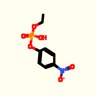 CCOP(=O)(O)Oc1ccc([N+](=O)[O-])cc1